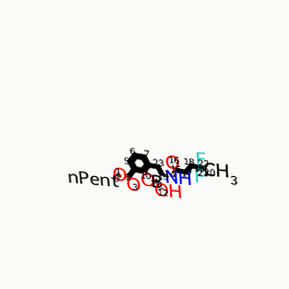 CCCCCOC(=O)c1cccc2c1OB(O)[C@@H](NC(=O)CCC(C)(F)F)C2